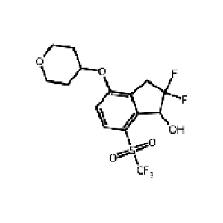 O=S(=O)(c1ccc(OC2CCOCC2)c2c1C(O)C(F)(F)C2)C(F)(F)F